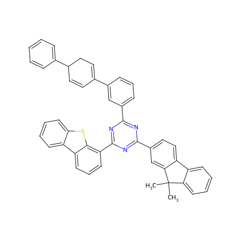 CC1(C)c2ccccc2-c2ccc(-c3nc(-c4cccc(C5=CCC(c6ccccc6)C=C5)c4)nc(-c4cccc5c4sc4ccccc45)n3)cc21